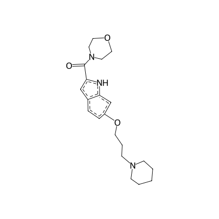 O=C(c1cc2ccc(OCCCN3CCCCC3)cc2[nH]1)N1CCOCC1